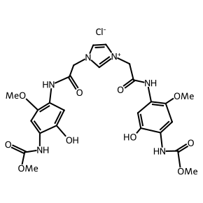 COC(=O)Nc1cc(OC)c(NC(=O)Cn2cc[n+](CC(=O)Nc3cc(O)c(NC(=O)OC)cc3OC)c2)cc1O.[Cl-]